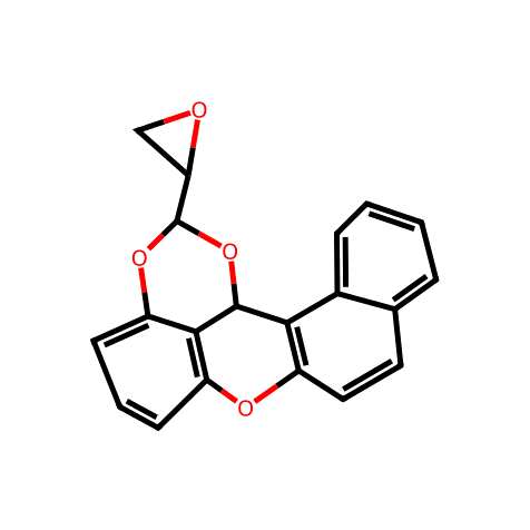 c1cc2c3c(c1)OC(C1CO1)OC3c1c(ccc3ccccc13)O2